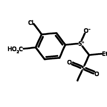 CCC([S+]([O-])c1ccc(C(=O)O)c(Cl)c1)S(C)(=O)=O